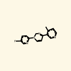 Cc1ccncc1C1=NCN(c2ccc(F)cn2)C=C1